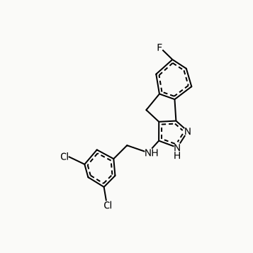 Fc1ccc2c(c1)Cc1c-2n[nH]c1NCc1cc(Cl)cc(Cl)c1